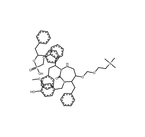 COc1cc(CN2C(=O)N(C(Cc3ccccc3)c3ccccc3OCP(=O)(O)OC(Cc3ccccc3)c3ccccc3)NCC(OCOCC[Si](C)(C)C)C2Cc2ccccc2)ccc1O